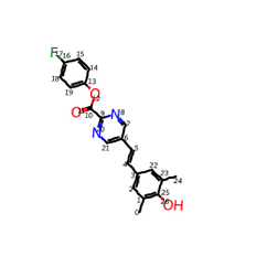 Cc1cc(/C=C/c2cnc(C(=O)Oc3ccc(F)cc3)nc2)cc(C)c1O